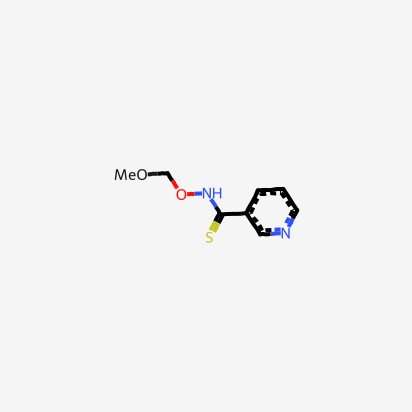 COCONC(=S)c1cccnc1